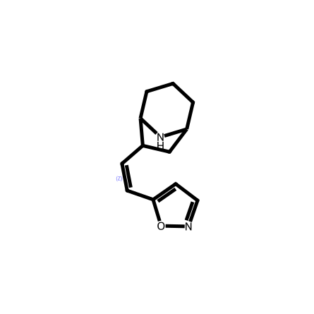 C(=C/C1CC2CCCC1N2)/c1ccno1